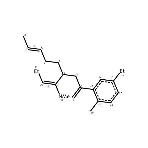 C=C(CC(CC/C=C/C)/C(=C\CC)NC)c1cc(CC)ccc1C